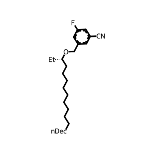 CCCCCCCCCCCCCCCCCCC[C@H](CC)OCc1cc(F)cc(C#N)c1